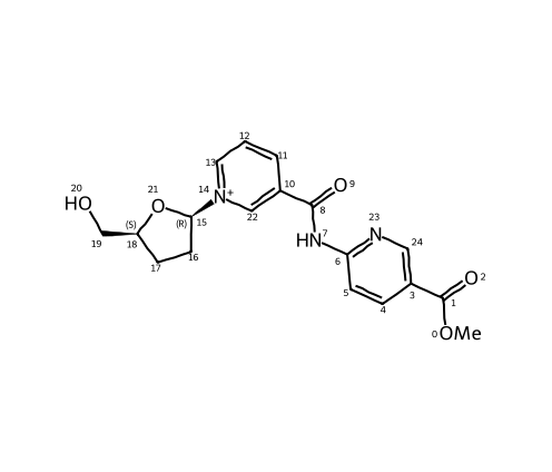 COC(=O)c1ccc(NC(=O)c2ccc[n+]([C@H]3CC[C@@H](CO)O3)c2)nc1